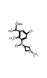 CCN(c1cc(Cl)cc(C(O)OC)c1C)C1CN(C)C1